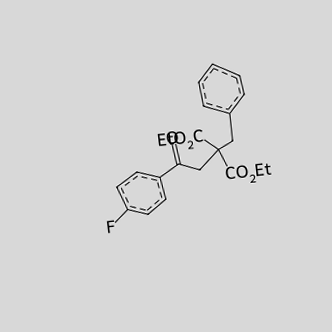 CCOC(=O)C(CC(=O)c1ccc(F)cc1)(Cc1ccccc1)C(=O)OCC